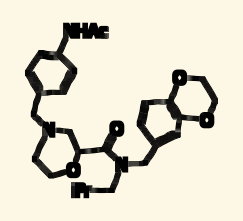 CC(=O)Nc1ccc(CN2CCOC(C(=O)N(Cc3ccc4c(c3)OCCO4)CC(C)C)C2)cc1